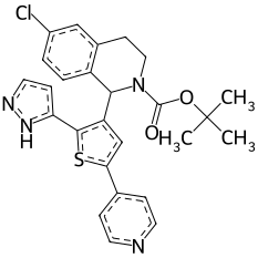 CC(C)(C)OC(=O)N1CCc2cc(Cl)ccc2C1c1cc(-c2ccncc2)sc1-c1ccn[nH]1